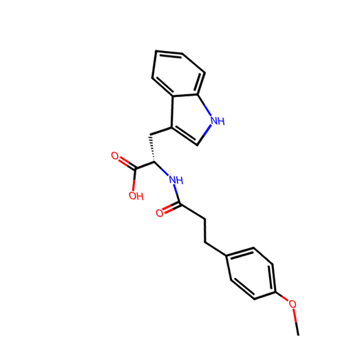 COc1ccc(CCC(=O)N[C@@H](Cc2c[nH]c3ccccc23)C(=O)O)cc1